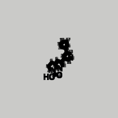 O=C(O)N1CCCc2cc(-c3cncc(-c4ccccc4)c3)cnc21